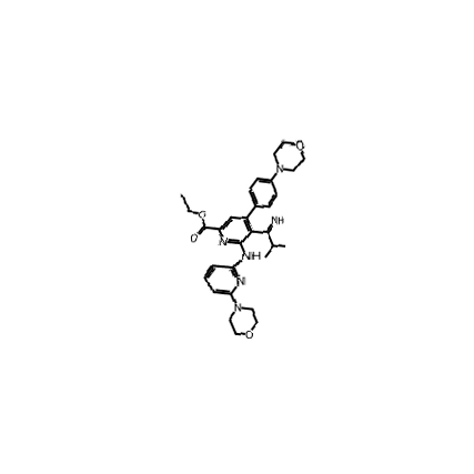 CCOC(=O)c1cc(-c2ccc(N3CCOCC3)cc2)c(C(=N)C(C)C)c(Nc2cccc(N3CCOCC3)n2)n1